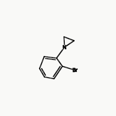 Brc1ccccc1N1CC1